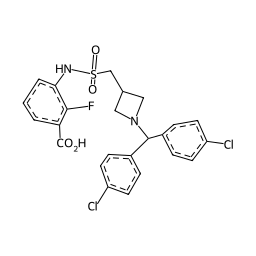 O=C(O)c1cccc(NS(=O)(=O)CC2CN(C(c3ccc(Cl)cc3)c3ccc(Cl)cc3)C2)c1F